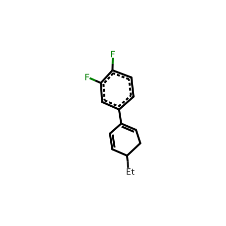 CCC1C=CC(c2ccc(F)c(F)c2)=CC1